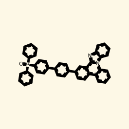 O=P(c1ccccc1)(c1ccccc1)c1ccc(-c2ccc(-c3ccc4c5ccccc5n5c6ccccc6nc5c4c3)cc2)cc1